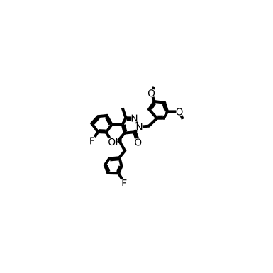 COc1cc(Cn2nc(C)c(-c3cccc(F)c3O)c(CCc3cccc(F)c3)c2=O)cc(OC)c1